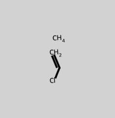 C.C=CCl